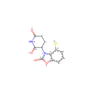 O=C1CCC(n2c(=O)oc3cccc(S)c32)C(=O)N1